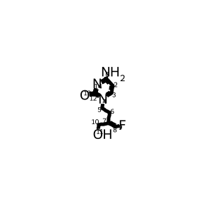 Nc1ccn(CC/C(=C\F)CO)c(=O)n1